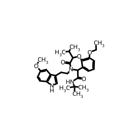 CCOc1cccc2c1OC(C(C)C)C(=O)N(CCc1c[nH]c3ccc(OC)cc13)C2C(=O)NC(C)(C)C